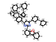 c1ccc(-c2cccc(-c3cc(-c4ccc5c(c4)C4(c6ccccc6-c6ccccc6-c6ccccc64)c4ccccc4-5)nc(-c4cccc5c4oc4ccccc45)n3)c2)cc1